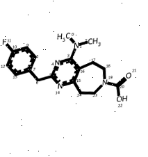 CN(C)c1nc(Cc2ccc(F)cc2)nc2c1CCN(C(=O)O)CC2